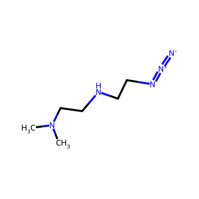 CN(C)CCNCCN=[N+]=[N-]